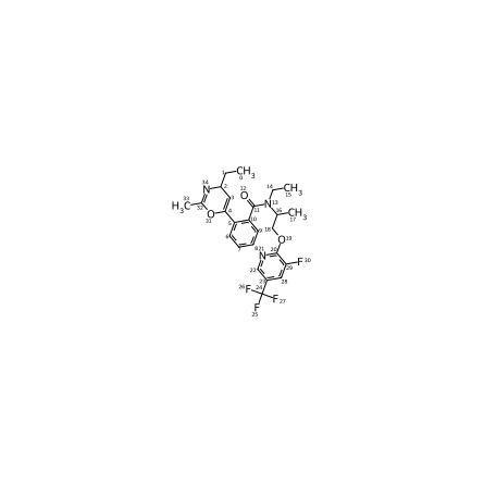 CCC1C=C(c2ccccc2C(=O)N(CC)C(C)COc2ncc(C(F)(F)F)cc2F)OC(C)=N1